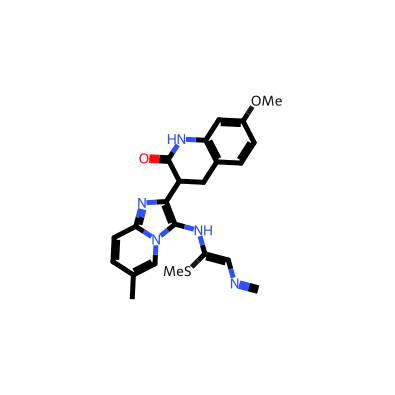 C=N/C=C(/Nc1c(C2Cc3ccc(OC)cc3NC2=O)nc2ccc(C)cn12)SC